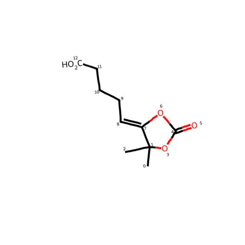 CC1(C)OC(=O)O/C1=C\CCCC(=O)O